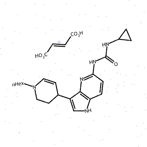 CCCCCCN1C=CC(c2c[nH]c3ccc(NC(=O)NC4CC4)nc23)CC1.O=C(O)/C=C/C(=O)O